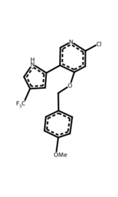 COc1ccc(COc2cc(Cl)ncc2-c2cc(C(F)(F)F)c[nH]2)cc1